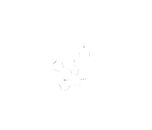 CC(C1CC(O)CC(=O)O1)n1cc(C(N)=O)c(-c2ccccc2)c1-c1ccccc1